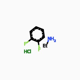 CCN.Cl.Fc1ccccc1F